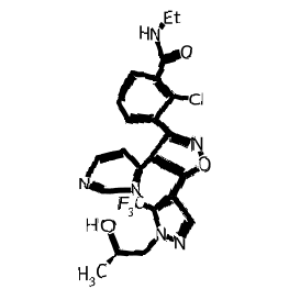 CCNC(=O)c1cccc(-c2noc(-c3cnn(C[C@@H](C)O)c3C(F)(F)F)c2-c2ccncn2)c1Cl